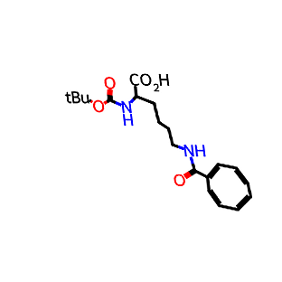 CC(C)(C)OC(=O)NC(CCCCNC(=O)C1=C/C=C\C=C/C=C\1)C(=O)O